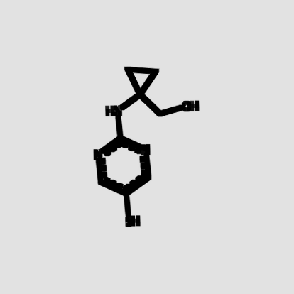 OCC1(Nc2ncc(S)cn2)CC1